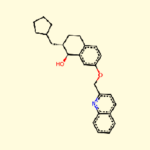 O[C@@H]1c2cc(OCc3ccc4ccccc4n3)ccc2CC[C@H]1CC1CCCC1